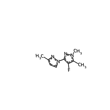 Cc1ccn(-c2nn(C)c(C)c2F)n1